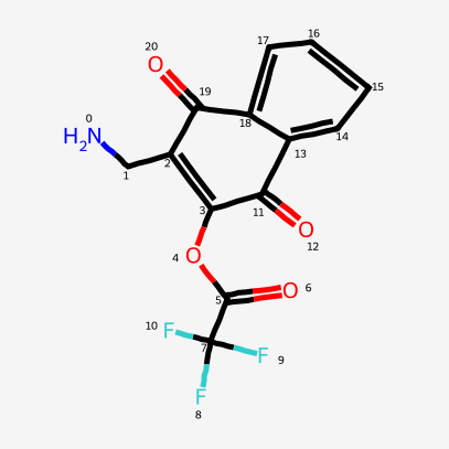 NCC1=C(OC(=O)C(F)(F)F)C(=O)c2ccccc2C1=O